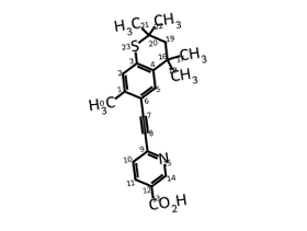 Cc1cc2c(cc1C#Cc1ccc(C(=O)O)cn1)C(C)(C)CC(C)(C)S2